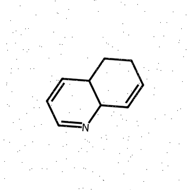 C1=CC2CCC=CC2N=C1